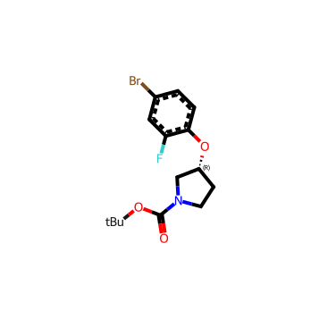 CC(C)(C)OC(=O)N1CC[C@@H](Oc2ccc(Br)cc2F)C1